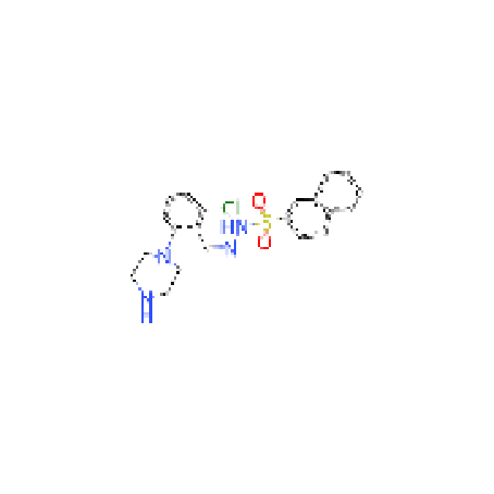 O=S(=O)(N/N=C\c1c(Cl)cccc1N1CCNCC1)c1ccc2ccccc2c1